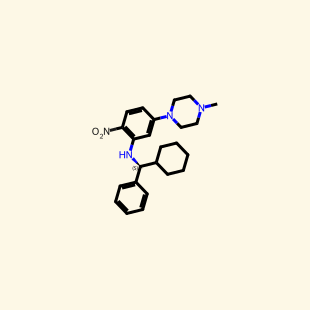 CN1CCN(c2ccc([N+](=O)[O-])c(N[C@H](c3ccccc3)C3CCCCC3)c2)CC1